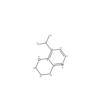 CC(C)c1ccnc2c1OCCC2